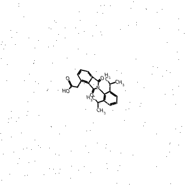 CC(C)c1cccc(C(C)C)c1N1C(=O)c2cccc(CC(=O)O)c2C1=O